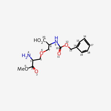 COC(=O)C(N)COCC(NC(=O)OCc1ccccc1)C(=O)O